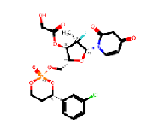 C[C@@]1(F)[C@H](OC(=O)CO)[C@@H](CO[P@@]2(=O)OCC[C@@H](c3cccc(Cl)c3)O2)O[C@H]1N1C=CC(=O)CC1=O